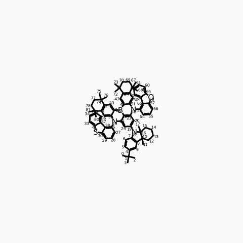 CC(C)(C)c1ccc2c(c1)C1(C)CCCCC1(C)N2c1cc2c3c(c1)N(c1cccc4sc5ccccc5c14)c1cc4c(cc1B3c1cc3c(cc1N2c1cccc2oc5ccccc5c12)C(C)(C)CCC3(C)C)C(C)(C)CCC4(C)C